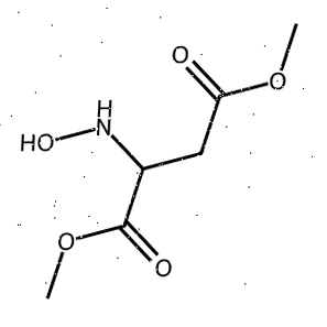 COC(=O)CC(NO)C(=O)OC